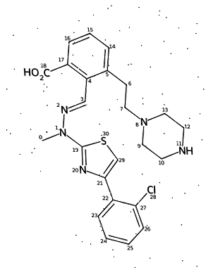 CN(/N=C/c1c(CCN2CCNCC2)cccc1C(=O)O)c1nc(-c2ccccc2Cl)cs1